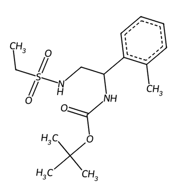 CCS(=O)(=O)NCC(NC(=O)OC(C)(C)C)c1ccccc1C